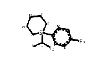 CC(I)[Si]1(c2ccc(F)cc2)CCCCC1